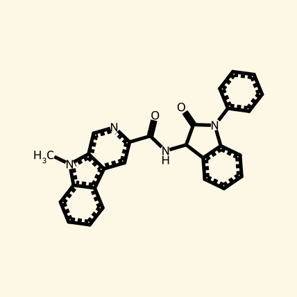 Cn1c2ccccc2c2cc(C(=O)NC3C(=O)N(c4ccccc4)c4ccccc43)ncc21